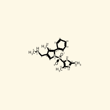 CNCc1cn(S(=O)(=O)c2sc(C)nc2C)c(-c2ccccc2)c1C